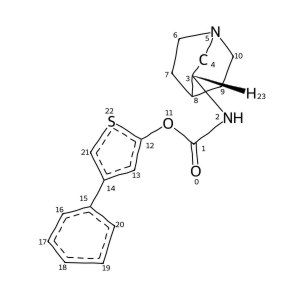 O=C(N[C@H]1CN2CCC1CC2)Oc1cc(-c2ccccc2)cs1